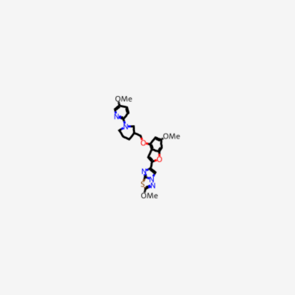 COc1ccc(N2CCCC(COc3cc(OC)cc4oc(-c5cn6nc(OC)sc6n5)cc34)C2)nc1